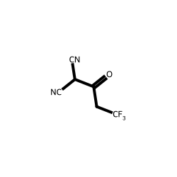 N#CC(C#N)C(=O)CC(F)(F)F